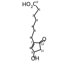 O=C(O)CCCCCCC1=CC(O)CC1=O